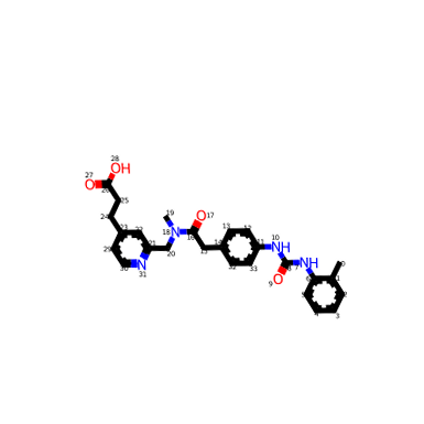 Cc1ccccc1NC(=O)Nc1ccc(CC(=O)N(C)Cc2cc(CCC(=O)O)ccn2)cc1